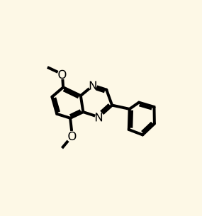 COc1ccc(OC)c2nc(-c3ccccc3)cnc12